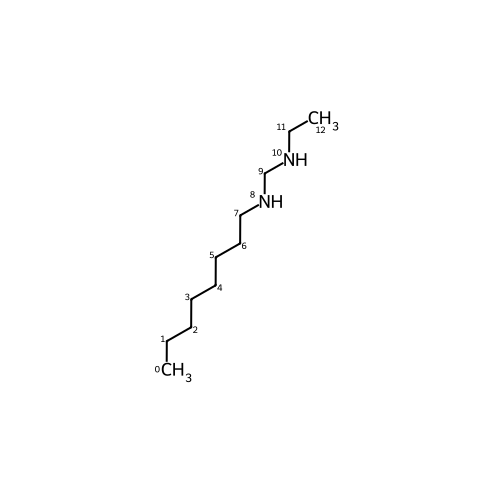 CCCCCCCCNCNCC